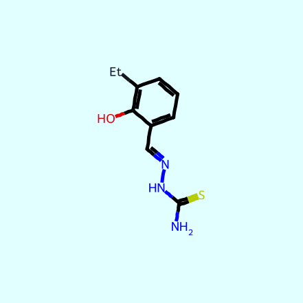 CCc1cccc(/C=N/NC(N)=S)c1O